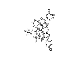 O=C1CN(C(=O)c2nc(Cn3nc(-c4ccc(Cl)cc4)n(C(F)[C@H](O)C(F)F)c3=O)nn2-c2cnccc2C(=O)NCCC(F)(F)F)CCN1